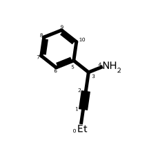 [CH2]CC#CC(N)c1ccccc1